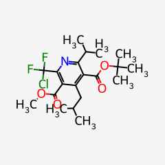 COC(=O)c1c(C(F)(F)Cl)nc(C(C)C)c(C(=O)OC(C)(C)C)c1CC(C)C